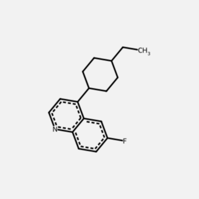 CCC1CCC(c2ccnc3ccc(F)cc23)CC1